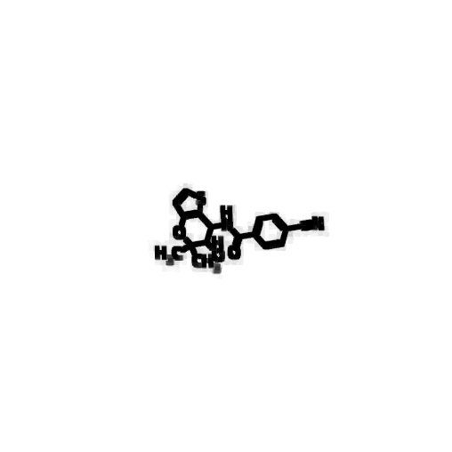 CC1(C)Oc2ccsc2C(NC(=O)c2ccc(C#N)cc2)C1O